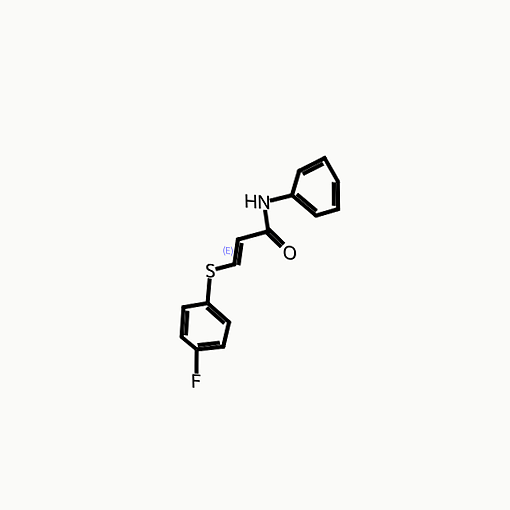 O=C(/C=C/Sc1ccc(F)cc1)Nc1ccccc1